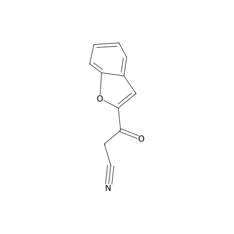 N#CCC(=O)c1cc2ccccc2o1